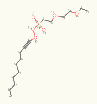 CCCCCCCCC#COOS(=O)(=O)CCOCCOCC